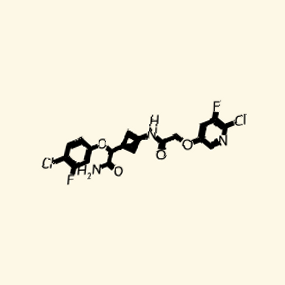 NC(=O)C(Oc1ccc(Cl)c(F)c1)C12CC(NC(=O)COc3cnc(Cl)c(F)c3)(C1)C2